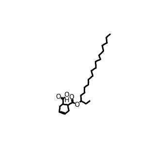 CCCCCCCCCCCCCCCCC(CC)OC(=O)C1CC=CCC1C(=O)O